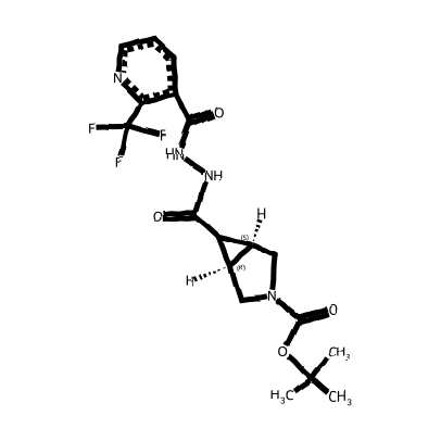 CC(C)(C)OC(=O)N1C[C@@H]2C(C(=O)NNC(=O)c3cccnc3C(F)(F)F)[C@@H]2C1